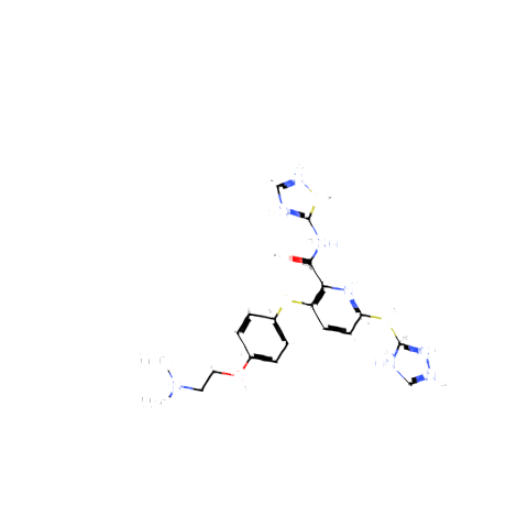 CN(C)CCOc1ccc(Sc2ccc(Sc3nnc[nH]3)nc2C(=O)Nc2ncns2)cc1